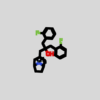 CN1C2CCC1CC(CC(O)(Cc1ccccc1F)Cc1ccccc1F)C2